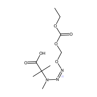 CCOC(=O)OCO/N=N\N(C)C(C)(C)C(=O)O